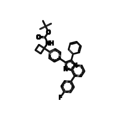 CC(C)(C)OC(=O)NC1(c2ccc(-c3nc4c(-c5ccc(F)cc5)cccn4c3C3C=CC=CC3)cc2)CCC1